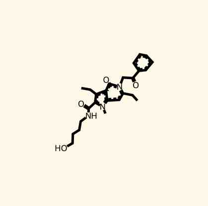 CCc1c(C(=O)NCCCCO)n(C)c2cc(CC)n(CC(=O)c3ccccc3)c(=O)c12